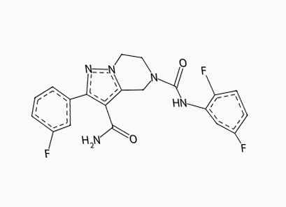 NC(=O)c1c(-c2cccc(F)c2)nn2c1CN(C(=O)Nc1cc(F)ccc1F)CC2